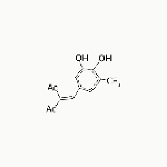 CC(=O)C(=Cc1cc(O)c(O)c(C(F)(F)F)c1)C(C)=O